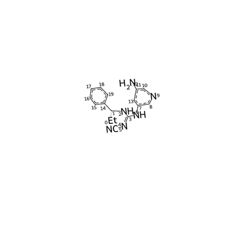 CC[C@@H](N/C(=N\C#N)Nc1cncc(N)c1)c1ccccc1